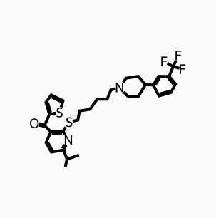 CC(C)c1ccc(C(=O)c2cccs2)c(SCCCCCCN2CCC(c3cccc(C(F)(F)F)c3)CC2)n1